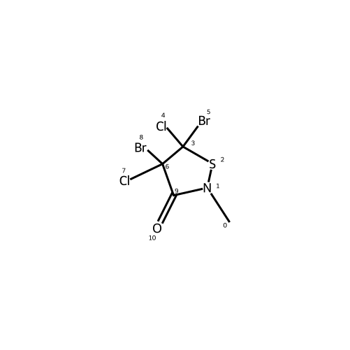 CN1SC(Cl)(Br)C(Cl)(Br)C1=O